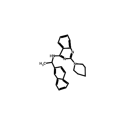 CC(Nc1nc(N2CCCCC2)nc2ccccc12)c1ccc2ccccc2c1